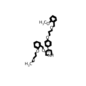 COCCCOc1ccccc1CO[C@H]1CNCC[C@@H]1c1ccc(OCCCOCc2ccccc2OC)cc1